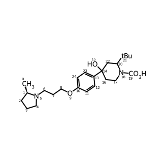 C[C@@H]1CCCN1CCCOc1ccc(C2(O)CCN(C(=O)O)C(C(C)(C)C)C2)cc1